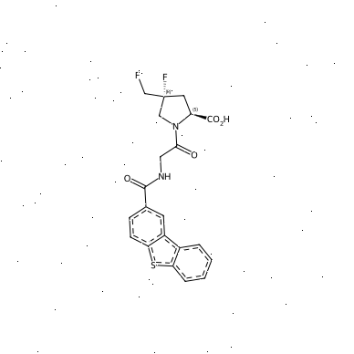 O=C(NCC(=O)N1C[C@@](F)(CF)C[C@H]1C(=O)O)c1ccc2sc3ccccc3c2c1